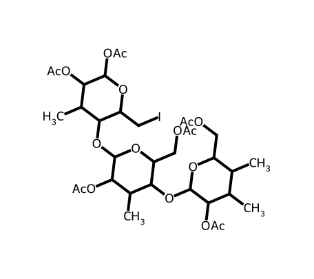 CC(=O)OCC1OC(OC2C(COC(C)=O)OC(OC3C(CI)OC(OC(C)=O)C(OC(C)=O)C3C)C(OC(C)=O)C2C)C(OC(C)=O)C(C)C1C